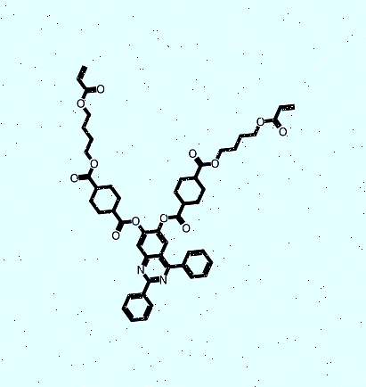 C=CC(=O)OCCCCOC(=O)C1CCC(C(=O)Oc2cc3nc(-c4ccccc4)nc(-c4ccccc4)c3cc2OC(=O)C2CCC(C(=O)OCCCCOC(=O)C=C)CC2)CC1